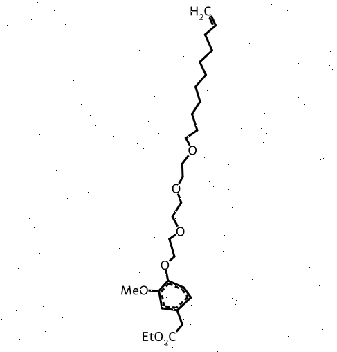 C=CCCCCCCCCCOCCOCCOCCOc1ccc(CC(=O)OCC)cc1OC